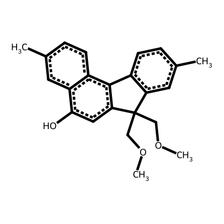 COCC1(COC)c2cc(C)ccc2-c2c1cc(O)c1cc(C)ccc21